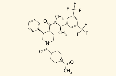 CC(=O)N1CCC(C(=O)N2CC[C@H](C(=O)N(C)[C@H](C)c3cc(C(F)(F)F)cc(C(F)(F)F)c3)[C@H](c3ccccc3)C2)CC1